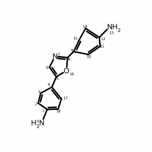 Nc1ccc(-c2cnc(-c3ccc(N)cc3)o2)cc1